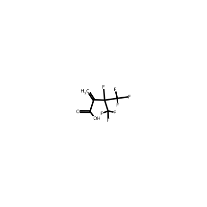 C=C(C(=O)O)C(F)(C(F)(F)F)C(F)(F)F